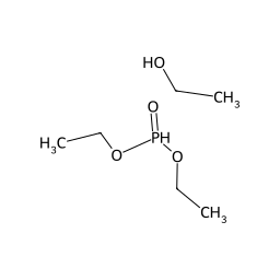 CCO.CCO[PH](=O)OCC